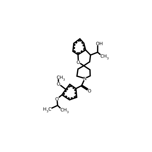 COc1cc(C(=O)N2CCC3(CC2)CC(C(C)O)c2ccccc2O3)ccc1OC(C)C